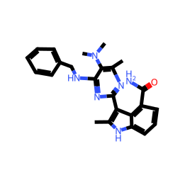 Cc1nc(-c2c(C)[nH]c3cccc(C(N)=O)c23)nc(NCc2ccccc2)c1N(C)C